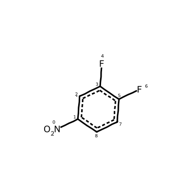 O=[N+]([O-])c1[c]c(F)c(F)cc1